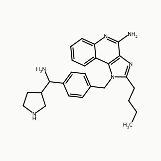 CCCCc1nc2c(N)nc3ccccc3c2n1Cc1ccc(C(N)C2CCNC2)cc1